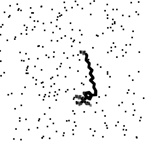 CCCCCCCCCCC/C=C\c1coc([Si](C)(C)C)c1